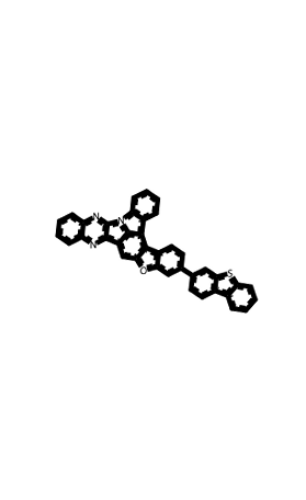 c1ccc2nc3c(nc2c1)c1cc2oc4cc(-c5ccc6c(c5)sc5ccccc56)ccc4c2c2c4ccccc4n3c12